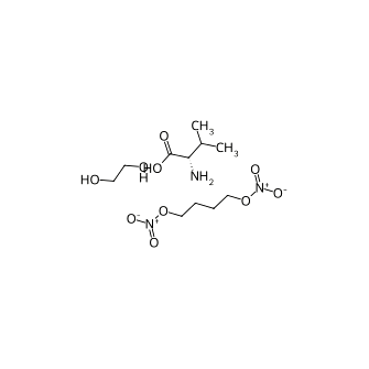 CC(C)[C@H](N)C(=O)O.O=[N+]([O-])OCCCCO[N+](=O)[O-].OCCO